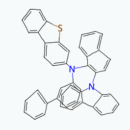 c1ccc(-c2cccc(N(c3ccc4c(c3)sc3ccccc34)c3c(-n4c5ccccc5c5ccccc54)ccc4ccccc34)c2)cc1